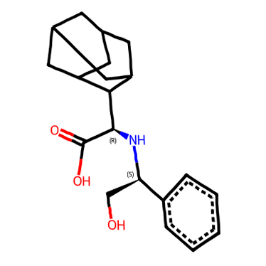 O=C(O)[C@H](N[C@H](CO)c1ccccc1)C1C2CC3CC(C2)CC1C3